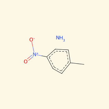 Cc1ccc([N+](=O)[O-])cc1.N